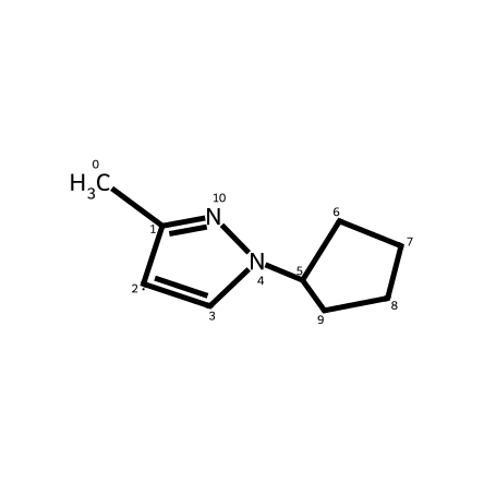 Cc1[c]cn(C2CCCC2)n1